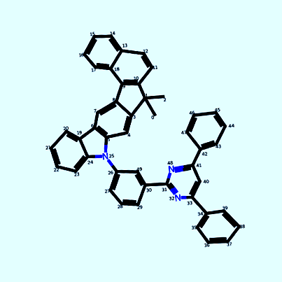 CC1(C)c2cc3c(cc2-c2c1ccc1ccccc21)c1ccccc1n3-c1cccc(-c2nc(-c3ccccc3)cc(-c3ccccc3)n2)c1